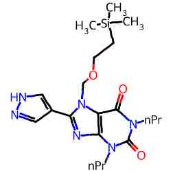 CCCn1c(=O)c2c(nc(-c3cn[nH]c3)n2COCC[Si](C)(C)C)n(CCC)c1=O